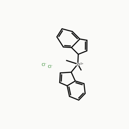 [CH3][Zr+2]([CH3])([CH]1C=Cc2ccccc21)[CH]1C=Cc2ccccc21.[Cl-].[Cl-]